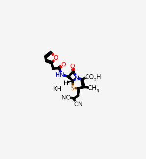 CC1=C(C(=O)O)N2C(=O)C(NC(=O)Cc3ccco3)[C@H]2SC1CC(C#N)C#N.[KH]